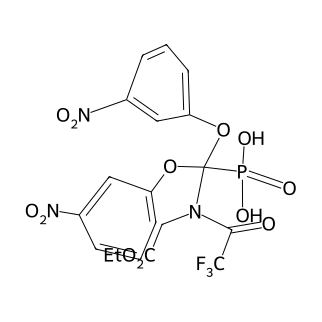 CCOC(=O)CN(C(=O)C(F)(F)F)C(Oc1cccc([N+](=O)[O-])c1)(Oc1cccc([N+](=O)[O-])c1)P(=O)(O)O